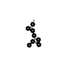 Fc1ccc(-n2c3ccccc3c3cc(-c4ccc(N(c5ccc(-c6ccccc6)cc5)c5cccc6c5oc5ccccc56)cc4)ccc32)cc1